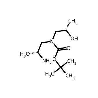 C[C@H](O)CN(C[C@@H](C)N)C(=O)OC(C)(C)C